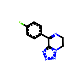 Fc1ccc(C2=NCCn3nnnc32)cc1